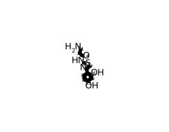 NCCC(=O)Nc1nc(-c2ccc(O)cc2O)cs1